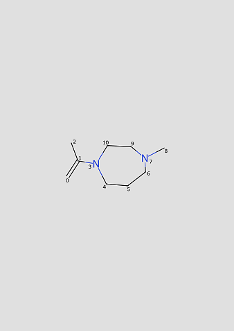 C=C(C)N1CCCN(C)CC1